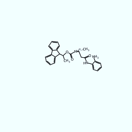 CC(OC(=O)N[C@H](C)CC(=O)Nc1ccccc1N)C1c2ccccc2-c2ccccc21